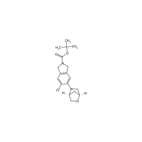 CC(C)(C)OC(=O)N1Cc2cc(Cl)c(N3C[C@@H]4C[C@H]3CO4)cc2C1